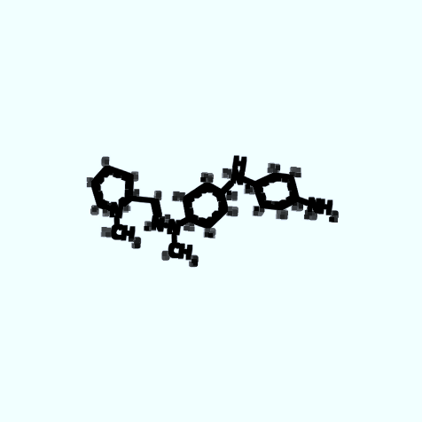 CN(/N=C/c1cccc[n+]1C)c1ccc(Nc2ccc(N)cc2)cc1